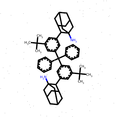 CC(C)(C)c1cc(C2C3CC4CC(C3)CC2(N)C4)cc(C(c2ccccc2)(c2ccccc2)c2cc(C3C4CC5CC(C4)CC3(N)C5)cc(C(C)(C)C)c2)c1